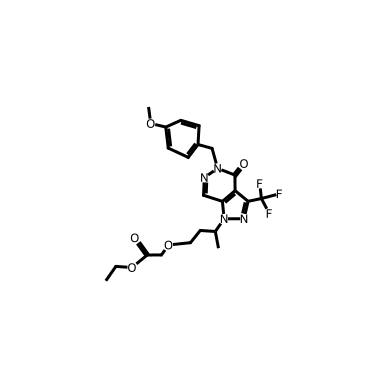 CCOC(=O)COCCC(C)n1nc(C(F)(F)F)c2c(=O)n(Cc3ccc(OC)cc3)ncc21